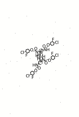 O=C(COc1ccc(Cl)c(F)c1)NC12CCC(NC(=O)COc3ccc(Cl)c(F)c3)(CC1)[C@@H](OC(=O)O[C@H]1CC3(NC(=O)COc4ccc(Cl)c(F)c4)CCC1(NC(=O)COc1ccc(Cl)c(F)c1)CC3)C2